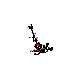 CSCC[C@H](NC(=O)[C@H](C)NC(=O)[C@H](Cc1c[nH]c2ccccc12)NC(=O)[C@@H]1CCCN1C(=O)[C@H](Cc1c[nH]cn1)NC(=O)[C@H](Cc1c[nH]c2ccccc12)NC(=O)[C@H](Cc1ccccc1)NC(C)=O)C(=O)N[C@@H](CCSC)C(=O)N[C@@H](Cc1ccc(O)cc1)C(=O)N[C@@H](CCCCN)C(=O)NCC(=O)NCC(=O)NCC(=O)N[C@@H](CCCCNC(=O)CCCC[C@@H]1SC[C@@H]2NC(=O)N[C@@H]21)C(N)=O